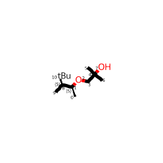 C[C@H](OCC(C)(C)O)[C@@H](C)C(C)(C)C